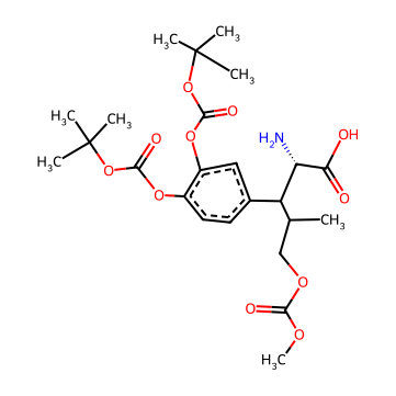 COC(=O)OCC(C)C(c1ccc(OC(=O)OC(C)(C)C)c(OC(=O)OC(C)(C)C)c1)[C@H](N)C(=O)O